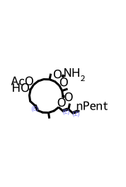 CCCCC/C=C\C(C)=C\C1CC(C)C/C=C/CCC(O)C(OC(C)=O)CCC(C)CC(OC(N)=O)C(C)C(=O)O1